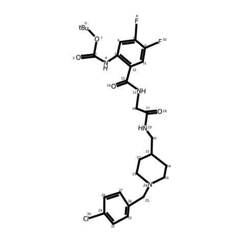 CC(C)(C)OC(=O)Nc1cc(F)c(F)cc1C(=O)NCC(=O)NCC1CCN(Cc2ccc(Cl)cc2)CC1